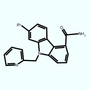 CC(C)c1c[c]c2c3c(C(N)=O)cccc3n(Cc3ccccn3)c2c1